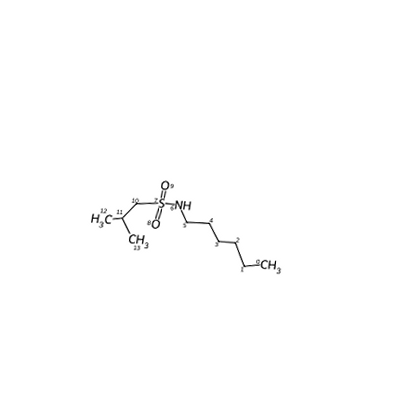 CCCCCCNS(=O)(=O)CC(C)C